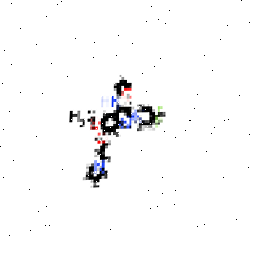 COc1cc2c(Nc3ccco3)cc(N3CCC(F)(F)CC3)nc2cc1OCCCN1CCCC1